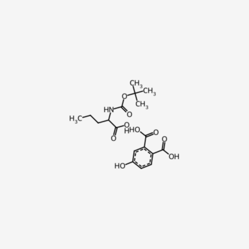 CCCC(NC(=O)OC(C)(C)C)C(=O)O.O=C(O)c1ccc(O)cc1C(=O)O